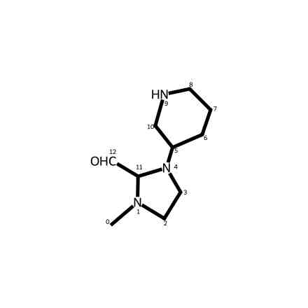 CN1CCN(C2CCCNC2)C1C=O